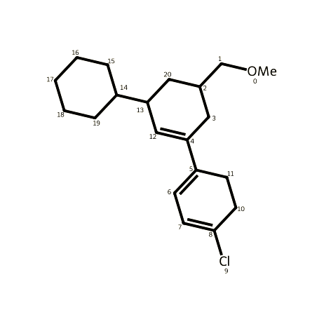 COCC1CC(C2=CC=C(Cl)CC2)=CC(C2CCCCC2)C1